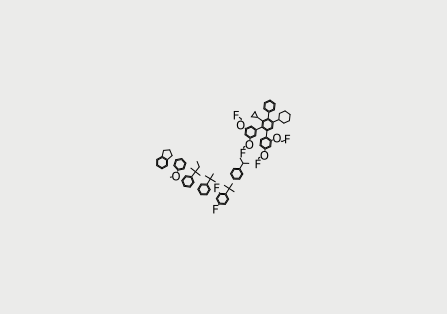 CC(C)(C)c1ccc(F)cc1F.CC(C)(C)c1ccccc1.CC(C)c1ccccc1.CCC(C)(C)c1ccccc1.COc1ccccc1.FCOc1cc(OCF)cc(-c2c(-c3ccc(OCF)cc3OCF)cc(C3CCCCC3)c(-c3ccccc3)c2C2CC2)c1.c1ccc2c(c1)CCC2